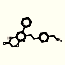 NCc1ccc(CCc2nc3c(cc2-c2ccccc2)NC(=O)CO3)cc1